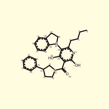 CCCCc1nc(O)c(C(=O)N2CCC(c3ccccc3)C2)c(O)c1N1CCc2ccccc21